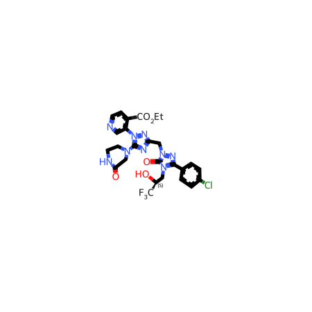 CCOC(=O)c1ccncc1-n1nc(Cn2nc(-c3ccc(Cl)cc3)n(C[C@H](O)C(F)(F)F)c2=O)nc1N1CCNC(=O)C1